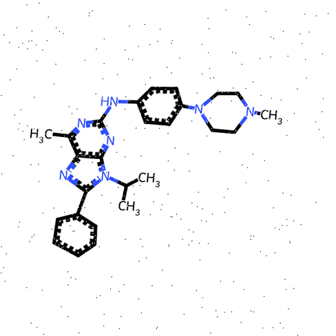 Cc1nc(Nc2ccc(N3CCN(C)CC3)cc2)nc2c1nc(-c1ccccc1)n2C(C)C